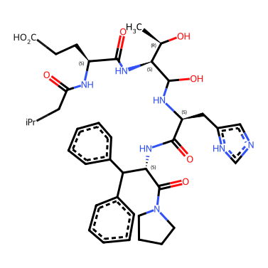 CC(C)CC(=O)N[C@@H](CCC(=O)O)C(=O)N[C@H](C(O)N[C@@H](Cc1cnc[nH]1)C(=O)N[C@H](C(=O)N1CCCC1)C(c1ccccc1)c1ccccc1)[C@@H](C)O